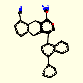 N#Cc1cccc2c1C1c3c(C#N)cccc3C2c2c(-c3ccc(-c4ccccc4)c4ccccc34)ccc(C#N)c21